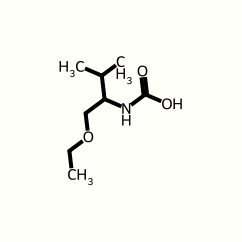 CCOCC(NC(=O)O)C(C)C